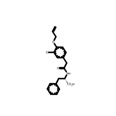 C=CCOc1ccc(CC(=O)N[C@@H](Cc2ccccc2)C(=O)O)cc1Cl